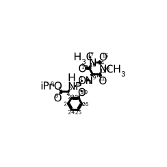 CC(C)OC(=O)CNP(ON=C1C(=O)N(C)C(=O)N(C)C1=O)Oc1ccccc1